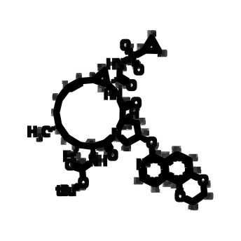 CC[C@@H]1C[C@H](C)CC/C=C\C2C[C@@]2(C(=O)NS(=O)(=O)C2CC2)NC(=O)[C@@H]2C[C@@H](Oc3nccc4c5c(ccc34)OCCO5)CN2C(=O)[C@H]1NC(=O)OC(C)(C)C